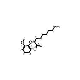 CCCCCCCCC(Oc1ccccc1OC)C(=O)O